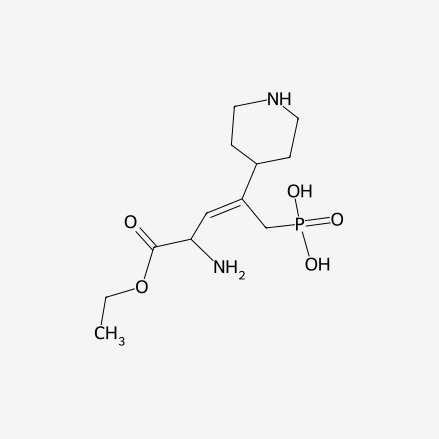 CCOC(=O)C(N)C=C(CP(=O)(O)O)C1CCNCC1